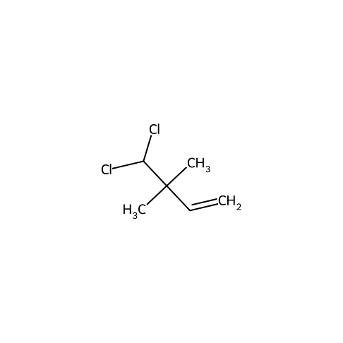 C=CC(C)(C)C(Cl)Cl